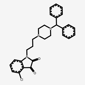 O=C1C(=O)N(CCCN2CCN(C(c3ccccc3)c3ccccc3)CC2)c2cccc(Cl)c21